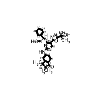 CN1C(=O)c2ccc(Nc3ncc(-c4nnc(C(C)(C)O)o4)c(N[C@H](CO)c4ccccc4)n3)cc2C1(C)C